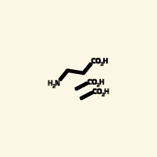 CC(=O)O.CC(=O)O.NCCC(=O)O